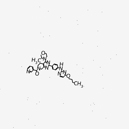 CCCCOc1ccnc(Nc2ccc(-c3nc4c(c(N5CCOC[C@@H]5C)n3)CCN(C(=O)c3cccnc3)C4)cc2)n1